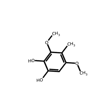 COc1cc(O)c(O)c(OC)c1C